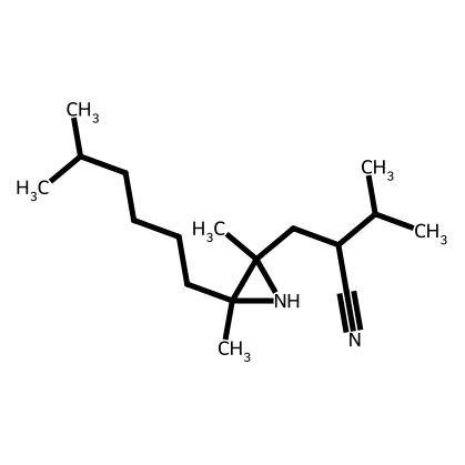 CC(C)CCCCC1(C)NC1(C)CC(C#N)C(C)C